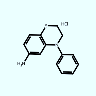 Cl.Nc1ccc2c(c1)N(c1ccccc1)CCS2